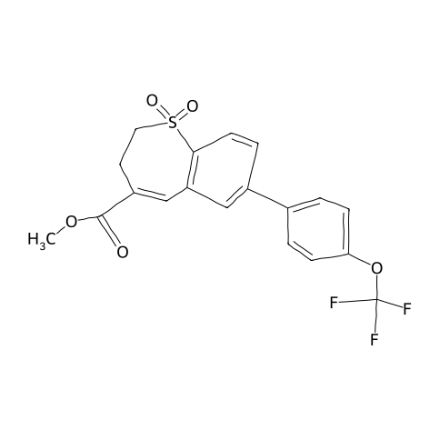 COC(=O)C1=Cc2cc(-c3ccc(OC(F)(F)F)cc3)ccc2S(=O)(=O)CC1